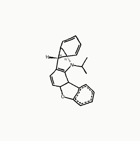 CC(C)N1C2=C(C=CC3Oc4ccccc4C23)[C@@H]2C3C=CC=C[C@]321